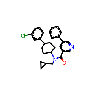 O=C(c1cncc(-c2ccccc2)c1)N(CC1CC1)C1CC[C](c2cccc(Cl)c2)CC1